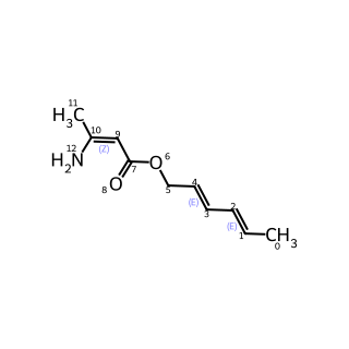 C/C=C/C=C/COC(=O)/C=C(/C)N